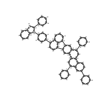 c1ccc(-c2ccc3c(c2)c(-c2ccccc2)cc2c4cc5c(cc4c(-c4ccccc4)cc32)-c2cccc3c(-c4ccc(-n6c(-c7ccccc7)nc7ccccc76)cc4)ccc-5c23)cc1